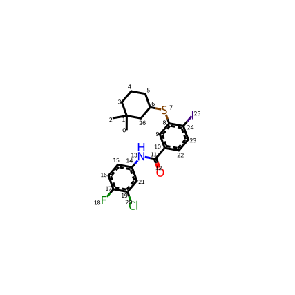 CC1(C)CCCC(Sc2cc(C(=O)Nc3ccc(F)c(Cl)c3)ccc2I)C1